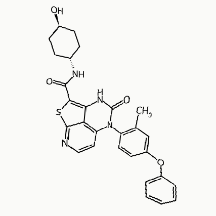 Cc1cc(Oc2ccccc2)ccc1N1C(=O)Nc2c(C(=O)N[C@H]3CC[C@H](O)CC3)sc3nccc1c23